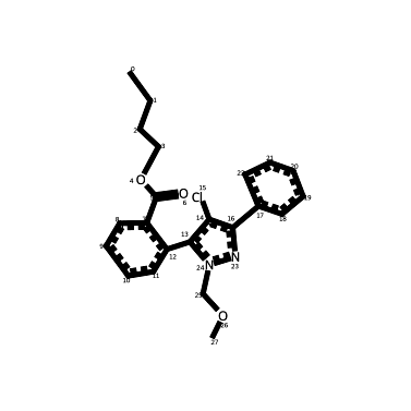 CCCCOC(=O)c1ccccc1-c1c(Cl)c(-c2ccccc2)nn1COC